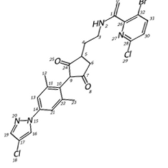 C=C(NCCC1CC(=O)C(c2c(C)cc(-n3cc(Cl)cn3)cc2C)C1=O)c1nc(Cl)ccc1Br